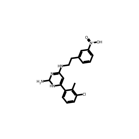 Cc1c(Cl)cccc1C1=CC(NCCc2cccc([N+](=O)O)c2)=NC(N)N1